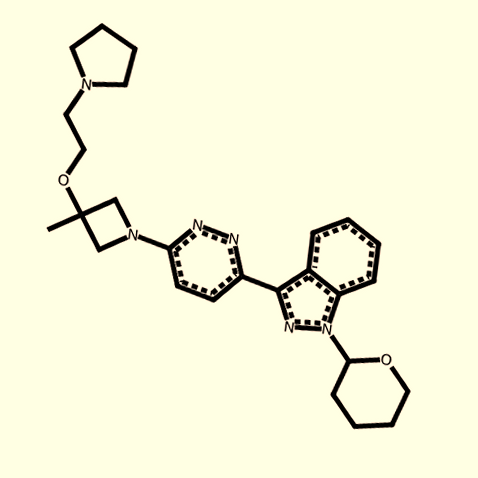 CC1(OCCN2CCCC2)CN(c2ccc(-c3nn(C4CCCCO4)c4ccccc34)nn2)C1